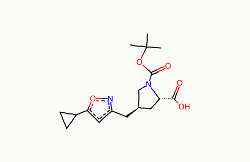 CC(C)(C)OC(=O)N1C[C@H](Cc2cc(C3CC3)on2)C[C@H]1C(=O)O